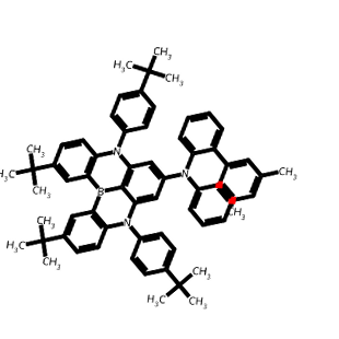 Cc1cc(C)cc(-c2ccccc2N(c2ccccc2)c2cc3c4c(c2)N(c2ccc(C(C)(C)C)cc2)c2ccc(C(C)(C)C)cc2B4c2cc(C(C)(C)C)ccc2N3c2ccc(C(C)(C)C)cc2)c1